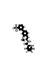 C[C@H]1[C@H](C)[C@H]2C[C@H]1[C@@H](C(=O)N[C@H](C#N)Cc1ccc(-c3cccc(S(=O)(=O)Cl)c3)cc1F)N2